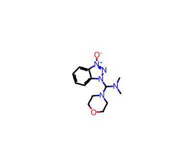 CN(C)C(N1CCOCC1)n1n[n+]([O-])c2ccccc21